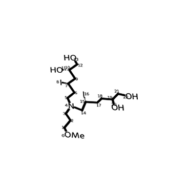 COCCCN(CC[C@@H](I)C[C@H](O)CO)C[C@H](I)CCC(O)CO